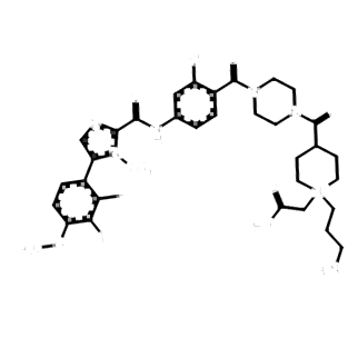 COc1ccc(-c2cnc(C(=O)Nc3ccc(C(=O)N4CCN(C(=O)C5CC[N+](CCCN)(CC(=O)O)CC5)CC4)c(Cl)c3)n2C)c(F)c1F